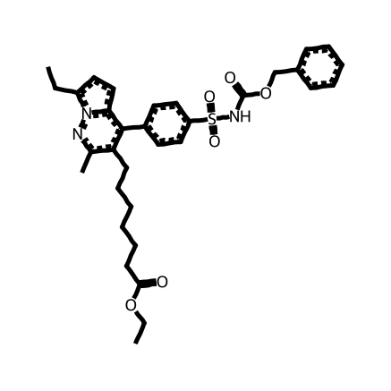 CCOC(=O)CCCCCCc1c(C)nn2c(CC)ccc2c1-c1ccc(S(=O)(=O)NC(=O)OCc2ccccc2)cc1